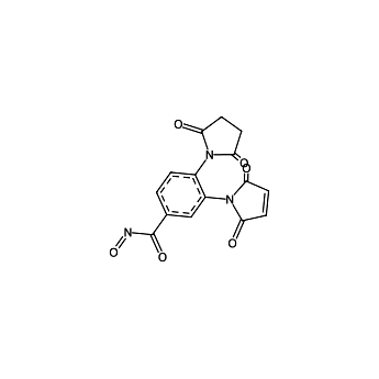 O=NC(=O)c1ccc(N2C(=O)CCC2=O)c(N2C(=O)C=CC2=O)c1